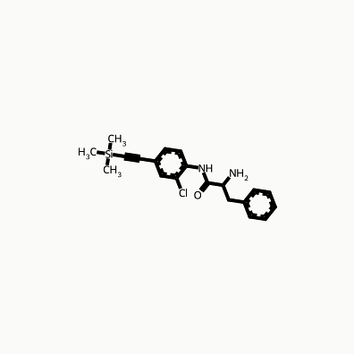 C[Si](C)(C)C#Cc1ccc(NC(=O)C(N)Cc2ccccc2)c(Cl)c1